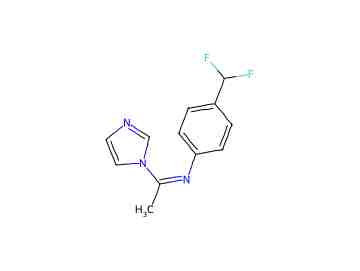 CC(=Nc1ccc(C(F)F)cc1)n1ccnc1